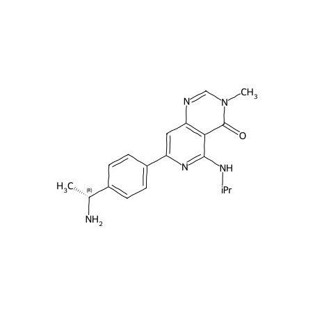 CC(C)Nc1nc(-c2ccc([C@@H](C)N)cc2)cc2ncn(C)c(=O)c12